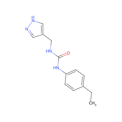 CCc1ccc(NC(=O)NCc2cn[nH]c2)cc1